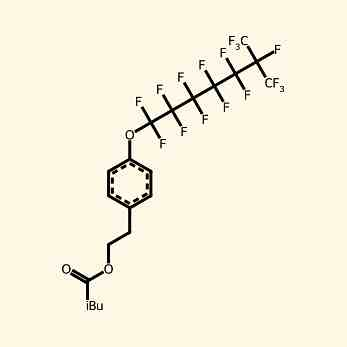 CCC(C)C(=O)OCCc1ccc(OC(F)(F)C(F)(F)C(F)(F)C(F)(F)C(F)(F)C(F)(C(F)(F)F)C(F)(F)F)cc1